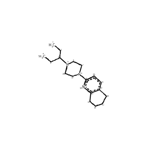 CCC(CC)N1CCN(c2ccc3c(n2)CCCC3)CC1